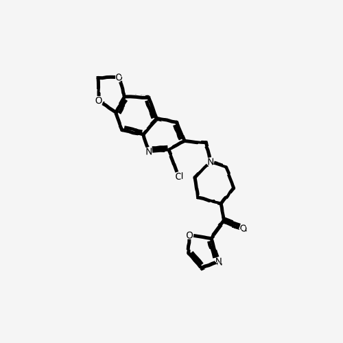 O=C(c1ncco1)C1CCN(Cc2cc3cc4c(cc3nc2Cl)OCO4)CC1